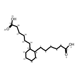 O=C(O)CCCCCC1CCCCC1CCCCCC(=O)O